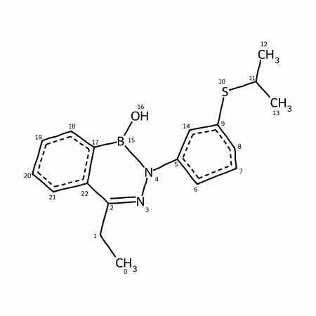 CCC1=NN(c2cccc(SC(C)C)c2)B(O)c2ccccc21